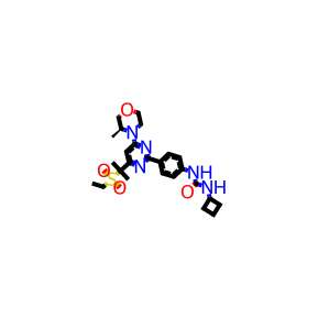 CCS(=O)(=O)C(C)(C)c1cc(N2CCOC[C@@H]2C)nc(-c2ccc(NC(=O)NC3CCC3)cc2)n1